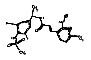 CCCNc1nc(C(F)(F)F)ccc1/C=C/C(=O)N[C@H](C)c1cc(F)c(NS(C)(=O)=O)c(F)c1